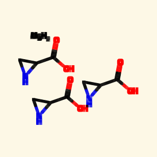 O=C(O)C1CN1.O=C(O)C1CN1.O=C(O)C1CN1.[MgH2]